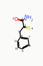 NC(=O)C(=S)Cc1ccccc1